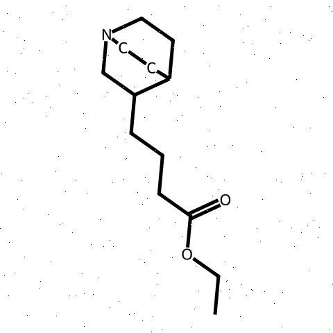 CCOC(=O)CCCC1CN2CCC1CC2